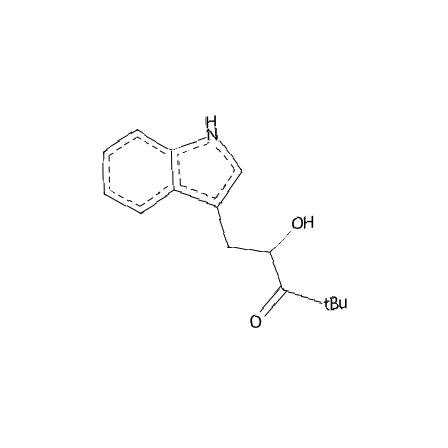 CC(C)(C)C(=O)C(O)Cc1c[nH]c2ccccc12